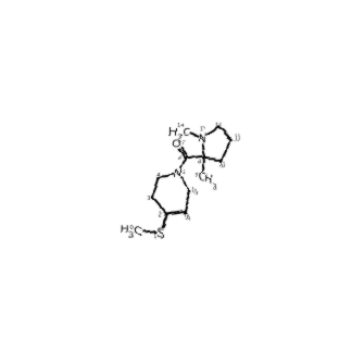 CSC1CCN(C(=O)C2(C)CCCN2C)CC1